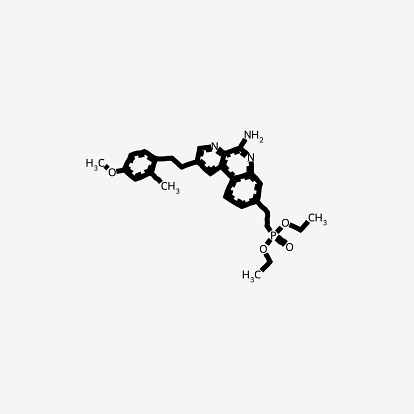 CCOP(=O)(CCc1ccc2c(c1)nc(N)c1ncc(CCc3ccc(OC)cc3C)cc12)OCC